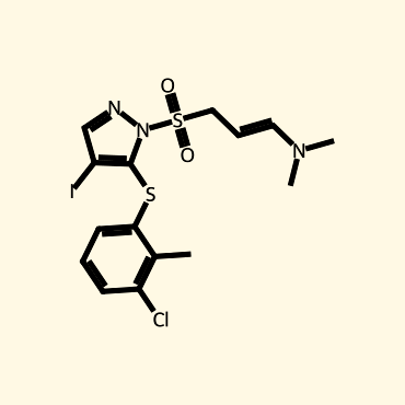 Cc1c(Cl)cccc1Sc1c(I)cnn1S(=O)(=O)CC=CN(C)C